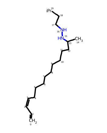 C=C/C=C\CCCCCCCCCC(C)NNCCC(C)C